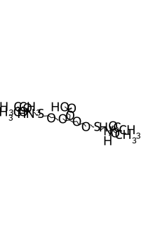 CC(C)(C)OC(=O)NCCSCCOCCOCC(COCCOCCSCCNC(=O)OC(C)(C)C)OCC(=O)O